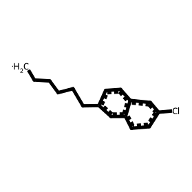 [CH2]CCCCCc1ccc2cc(Cl)ccc2c1